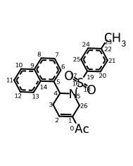 CC(=O)C1=CCC(c2cccc3ccccc23)N(S(=O)(=O)c2ccc(C)cc2)C1